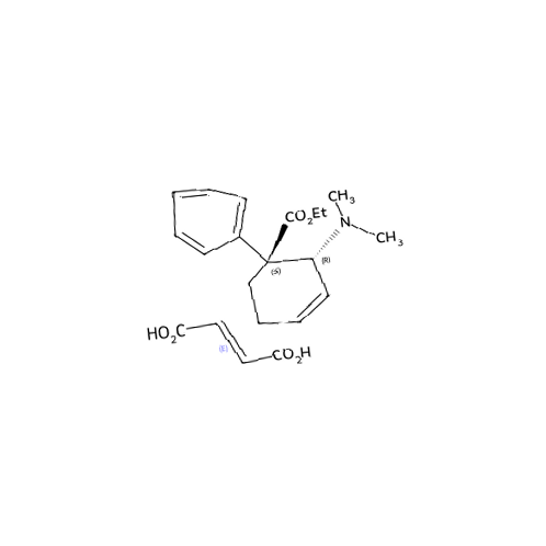 CCOC(=O)[C@]1(c2ccccc2)CCC=C[C@H]1N(C)C.O=C(O)/C=C/C(=O)O